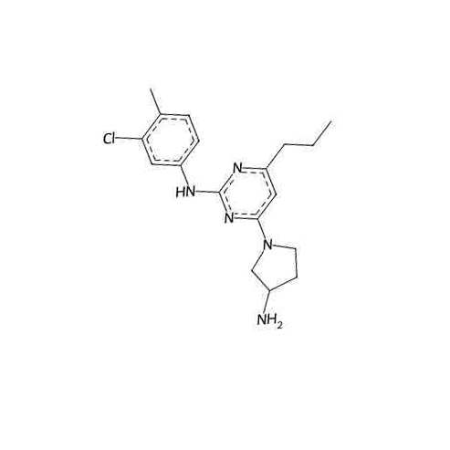 CCCc1cc(N2CCC(N)C2)nc(Nc2ccc(C)c(Cl)c2)n1